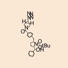 CC(C)(C)OC(=O)N1[C@H](Cc2ccc(C(=O)N3C[C@@H]4C(n5cnnn5)[C@@H]4C3)cc2)CC[C@@H]1[C@H](O)c1ccccc1